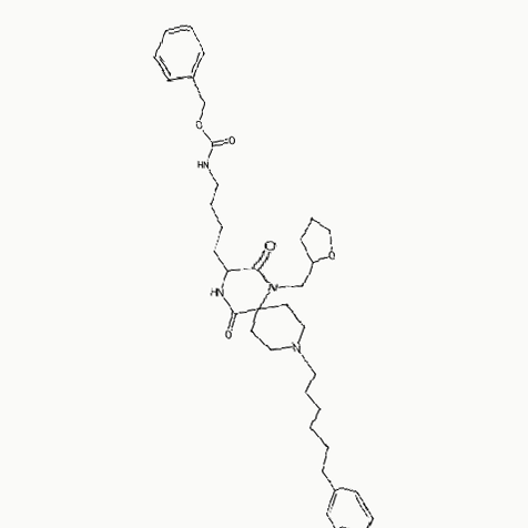 O=C(NCCCCC1NC(=O)C2(CCN(CCCCCCc3ccccc3)CC2)N(CC2CCCO2)C1=O)OCc1ccccc1